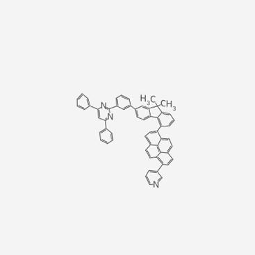 CC1(C)c2cc(-c3cccc(-c4nc(-c5ccccc5)cc(-c5ccccc5)n4)c3)ccc2-c2c(-c3ccc4ccc5c(-c6cccnc6)ccc6ccc3c4c65)cccc21